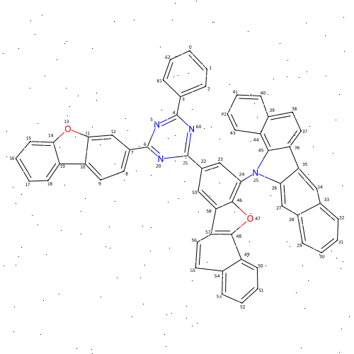 c1ccc(-c2nc(-c3ccc4c(c3)oc3ccccc34)nc(-c3cc(-n4c5cc6ccccc6cc5c5ccc6ccccc6c54)c4oc5c6ccccc6ccc5c4c3)n2)cc1